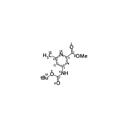 COC(=O)c1cc(NC(=O)OC(C)(C)C)cc(C)n1